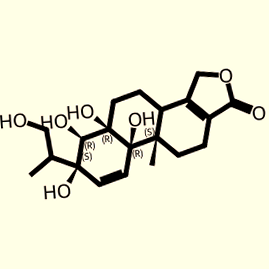 CC(CO)[C@@]1(O)C=C[C@@]2(O)[C@@]3(C)CCC4=C(COC4=O)C3CC[C@@]2(O)[C@@H]1O